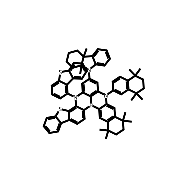 CC1(C)CCC(C)(C)c2cc(N3c4cc5c(cc4B4c6ccc7c(sc8ccccc87)c6N(c6cccc7sc8ccccc8c67)c6cc(N7c8ccccc8C8(C)CCCCC78C)cc3c64)C(C)(C)CCC5(C)C)ccc21